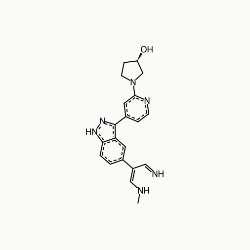 CN/C=C(\C=N)c1ccc2[nH]nc(-c3ccnc(N4CC[C@@H](O)C4)c3)c2c1